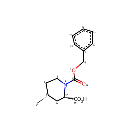 C[C@@H]1CCN(C(=O)OCc2ccccc2)[C@@H](C(=O)O)C1